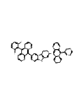 Fc1cccc(F)c1-c1c2ccccc2c(-c2ccc3sc4cc(-c5c6ccccc6c(-c6ccccc6)c6ccccc56)ccc4c3c2)c2ccccc12